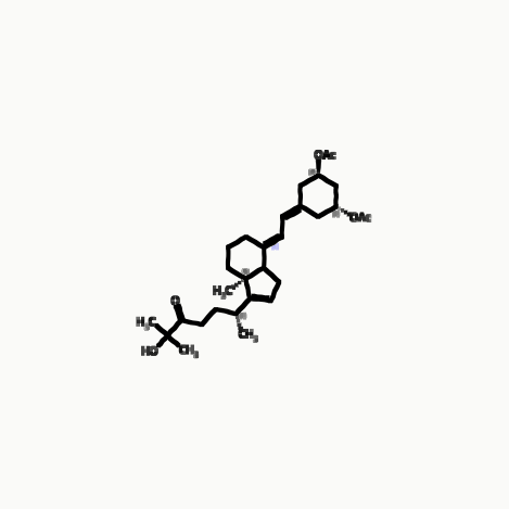 CC(=O)O[C@@H]1CC(=C/C=C2\CCC[C@]3(C)C([C@H](C)CCC(=O)C(C)(C)O)=CCC23)C[C@@H](OC(C)=O)C1